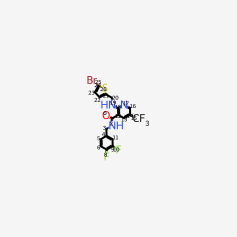 O=C(NCc1ccc(F)c(F)c1)c1cc(C(F)(F)F)cnc1NCc1ccc(Br)s1